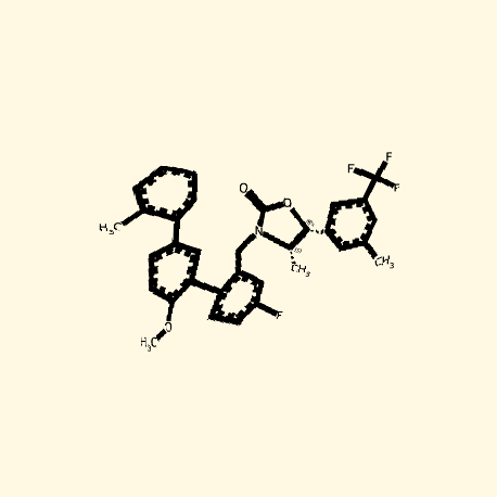 COc1ccc(-c2ccccc2C)cc1-c1ccc(F)cc1CN1C(=O)O[C@H](c2cc(C)cc(C(F)(F)F)c2)[C@@H]1C